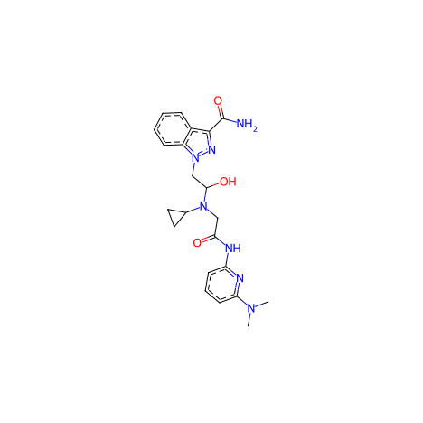 CN(C)c1cccc(NC(=O)CN(C(O)Cn2nc(C(N)=O)c3ccccc32)C2CC2)n1